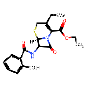 CSCC1=C(C(=O)OCC(Cl)(Cl)Cl)N2C(=O)C(NC(=O)c3ccccc3C(=O)O)[C@H]2SC1